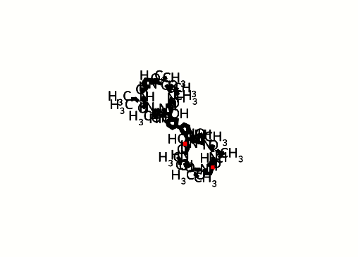 CC(C)CC[C@@H]1NC(=O)[C@H]2CCCN2C(=O)[C@H](C(C)C)OC(=O)[C@@H](C(C)C)NC(=O)[C@@H]2C[C@@]3(O)c4cc(-c5ccc6c(c5)[C@]5(O)C[C@H]7C(=O)N[C@H](C(C)C)C(=O)O[C@@H](C(C)C)C(=O)N8CCC[C@@H]8C(=O)N[C@@H](CC(C)C)C(=O)N[C@H]([C@H](C)O)C(=O)N7[C@@H]5N6)ccc4N[C@H]3N2C(=O)[C@@H]([C@H](C)O)NC1=O